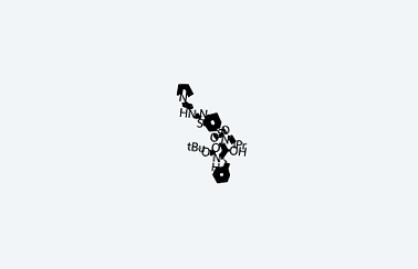 CC(C)CN(C[C@@H](O)[C@H](Cc1ccccc1)NC(=O)OC(C)(C)C)S(=O)(=O)c1ccc2nc(NCCN3CCCC3)sc2c1